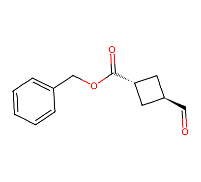 O=C[C@H]1C[C@H](C(=O)OCc2ccccc2)C1